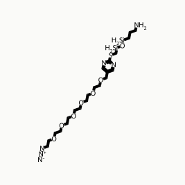 [N-]=[N+]=NCCOCCOCCOCCOCCOCCOCc1cnc(SC[SiH2]O[SiH2]CCCN)nc1